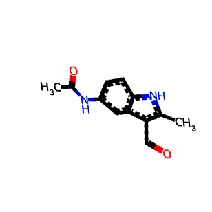 CC(=O)Nc1ccc2[nH]c(C)c(C=O)c2c1